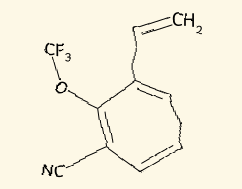 C=Cc1cccc(C#N)c1OC(F)(F)F